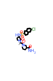 C[C@@H](C(=O)N1CCCC(C(N)=O)C1)N1CC[C@H](NS(=O)(=O)c2ccc3cc(Cl)ccc3c2)C1=O